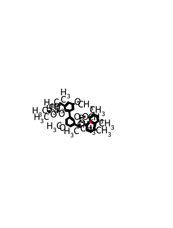 COc1cc(-c2cc(OC)cc(C(C)(C)C)c2OP(Oc2ccc(C)cc2C)Oc2ccc(C)cc2C)c(OC(=O)OC(C)(C)C)c(C(C)(C)C)c1